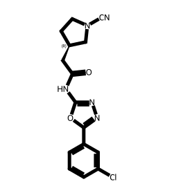 N#CN1CC[C@H](CC(=O)Nc2nnc(-c3cccc(Cl)c3)o2)C1